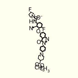 COC(OC)C1CCN(c2ccc(-n3cnc4ccc(Oc5c(F)ccc(N[S+]([O-])N6CCC(F)C6)c5C#N)cc4c3=O)cc2)CC1